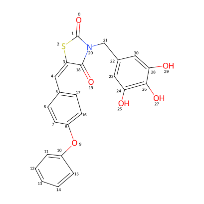 O=C1SC(=Cc2ccc(Oc3ccccc3)cc2)C(=O)N1Cc1cc(O)c(O)c(O)c1